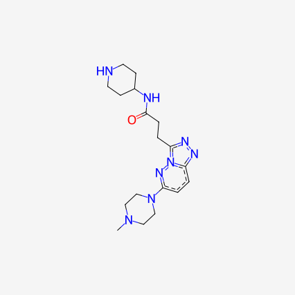 CN1CCN(c2ccc3nnc(CCC(=O)NC4CCNCC4)n3n2)CC1